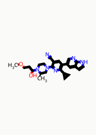 COCCC(O)N1CCN(c2nc(C3CC3)c(-c3cnc4[nH]ccc4c3)cc2C#N)C[C@H]1C